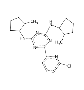 CC1CCCC1Nc1nc(NC2CCCC2C)nc(-c2cccc(Cl)n2)n1